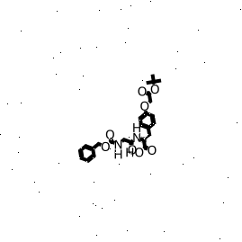 CC(C)(C)OC(=O)COc1ccc(C[C@H](NC(=O)CNC(=O)OCc2ccccc2)C(=O)O)cc1